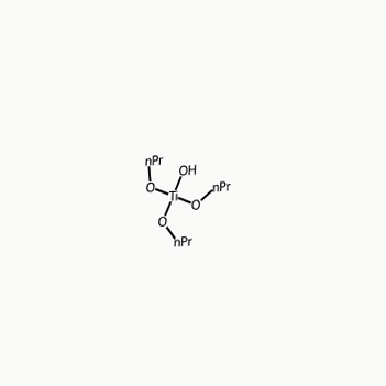 CCC[O][Ti]([OH])([O]CCC)[O]CCC